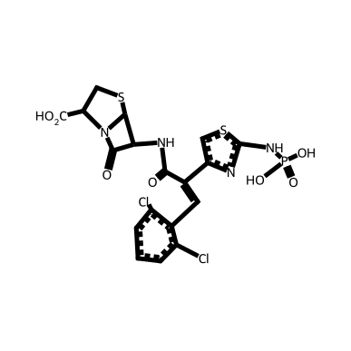 O=C(NC1C(=O)N2C(C(=O)O)CSC12)/C(=C\c1c(Cl)cccc1Cl)c1csc(NP(=O)(O)O)n1